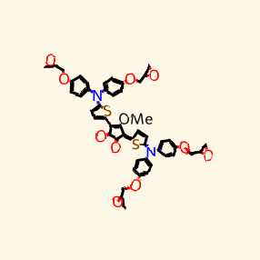 COC1=C(c2ccc(N(c3ccc(OCC4CO4)cc3)c3ccc(OCC4CO4)cc3)s2)C(=O)C(=O)/C1=C1/C=CC(=[N+](c2ccc(OCC3CO3)cc2)c2ccc(OCC3CO3)cc2)S1